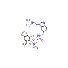 COc1cc(C)c(S(=O)(=O)N(C)CCC(=O)NCc2ccc3ncn(CCN(C)C)c3c2)c(C)c1